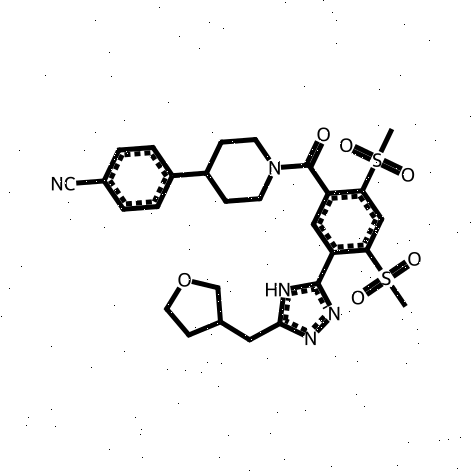 CS(=O)(=O)c1cc(S(C)(=O)=O)c(-c2nnc(CC3CCOC3)[nH]2)cc1C(=O)N1CCC(c2ccc(C#N)cc2)CC1